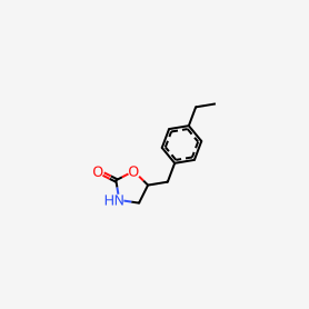 CCc1ccc(CC2CNC(=O)O2)cc1